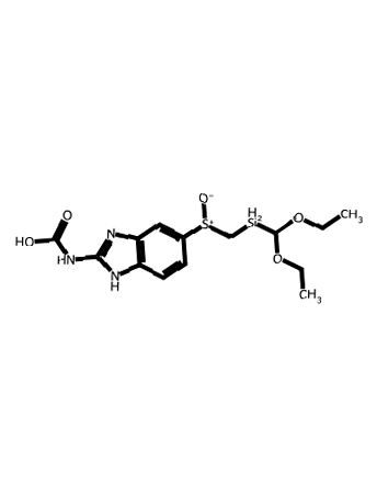 CCOC(OCC)[SiH2]C[S+]([O-])c1ccc2[nH]c(NC(=O)O)nc2c1